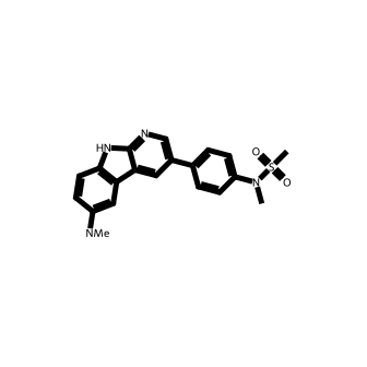 CNc1ccc2[nH]c3ncc(-c4ccc(N(C)S(C)(=O)=O)cc4)cc3c2c1